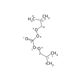 CC(C)COOC(=O)OOCC(C)C